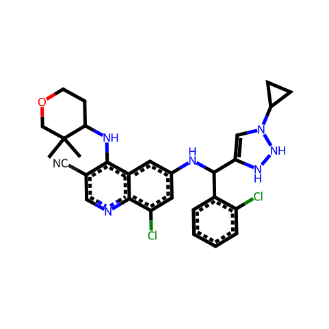 CC1(C)COCCC1Nc1c(C#N)cnc2c(Cl)cc(NC(C3=CN(C4CC4)NN3)c3ccccc3Cl)cc12